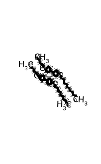 CCCCCCCCCCCSc1ccc(-c2ccc(OCCCCC)cc2)cc1.CCCCCCCCCCSc1ccc(-c2ccc(OCCCCC)cc2)cc1